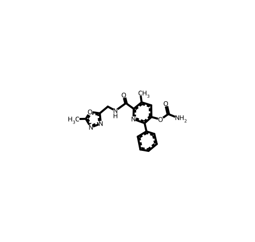 Cc1nnc(CNC(=O)c2nc(-c3ccccc3)c(OC(N)=O)cc2C)o1